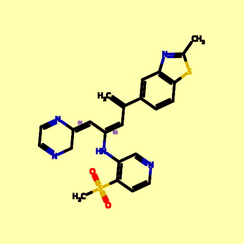 C=C(/C=C(\C=C1/CN=CC=N1)Nc1cnccc1S(C)(=O)=O)c1ccc2sc(C)nc2c1